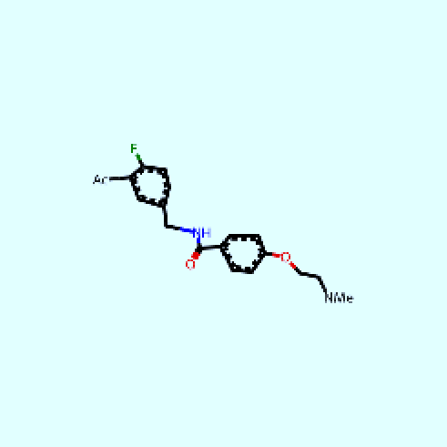 CNCCOc1ccc(C(=O)NCc2ccc(F)c(C(C)=O)c2)cc1